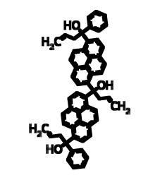 C=CCC(O)(c1ccccc1)c1ccc2ccc3c(C(O)(CC=C)c4ccc5ccc6c(C(O)(CC=C)c7ccccc7)ccc7ccc4c5c76)ccc4ccc1c2c43